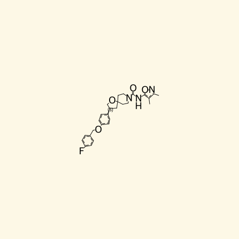 Cc1noc(NC(=O)N2CCC3(CC2)C[C@@H](c2ccc(OCc4ccc(F)cc4)cc2)CO3)c1C